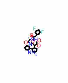 COCC(=O)C1C(=O)N(C(=O)[C@H](C)NC(=O)Cc2cc(F)cc(F)c2)c2cccc(N)c2-c2ccccc21